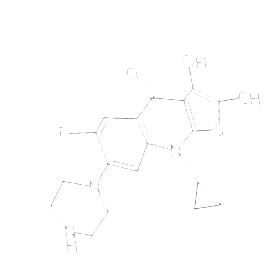 Cc1sc2c(c1O)c(=O)c1cc(F)c(N3CCNCC3)cc1n2C1CC1